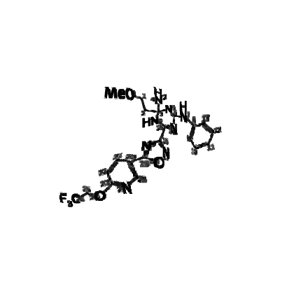 COCCC1(N)N=C(Nc2ccccc2)N=C(c2noc(-c3ccc(OCC(F)(F)F)nc3)n2)N1